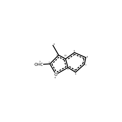 Cc1c([C]=O)oc2ccccc12